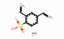 C=Cc1ccc(S(=O)(=O)O)c(C=C)c1.[NaH]